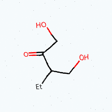 CCC(CO)C(=O)CO